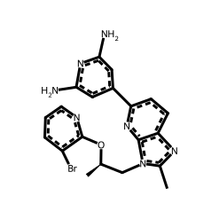 Cc1nc2ccc(-c3cc(N)nc(N)c3)nc2n1C[C@@H](C)Oc1ncccc1Br